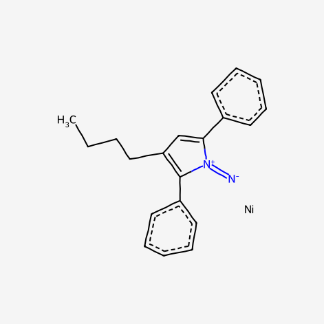 CCCCC1=C(c2ccccc2)[N+](=[N-])C(c2ccccc2)=C1.[Ni]